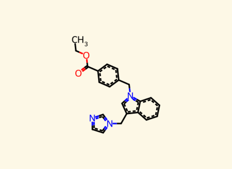 CCOC(=O)c1ccc(Cn2cc(Cn3ccnc3)c3ccccc32)cc1